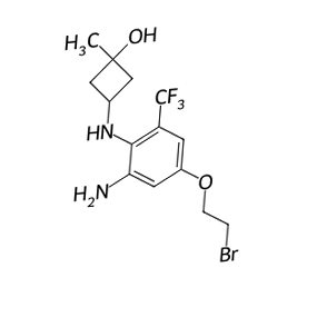 CC1(O)CC(Nc2c(N)cc(OCCBr)cc2C(F)(F)F)C1